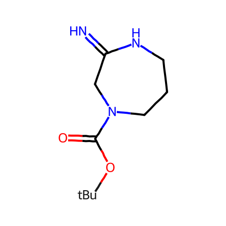 CC(C)(C)OC(=O)N1CCCNC(=N)C1